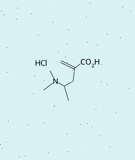 C=C(CC(C)N(C)C)C(=O)O.Cl